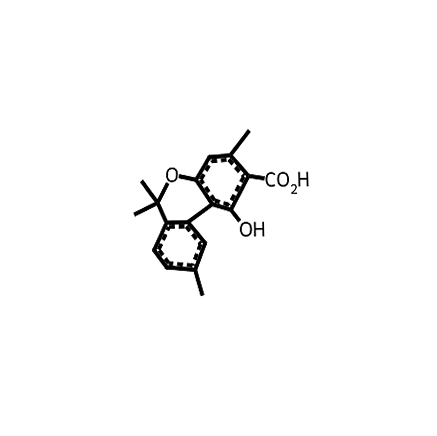 Cc1ccc2c(c1)-c1c(cc(C)c(C(=O)O)c1O)OC2(C)C